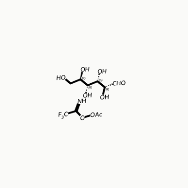 CC(=O)OOC(=N)C(F)(F)F.O=C[C@H](O)[C@@H](O)[C@H](O)[C@H](O)CO